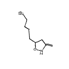 C=C1CC(CCCCC(C)(C)C)ON1